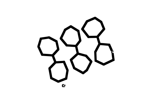 C1CCCC(C2CCCCCC2)CC1.C1CCCC(C2CCCCCC2)CC1.C1CCCC(C2CCCCCC2)CC1.[Cr]